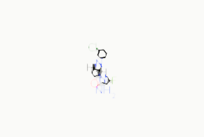 NC(=O)[C@@H]1C[C@@H](F)CN1[C@H]1CC[C@@H]2CN(c3cccc(Cl)c3)C[C@@H]21